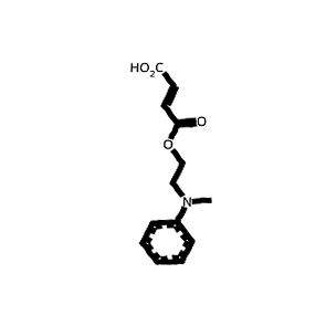 CN(CCOC(=O)C=CC(=O)O)c1ccccc1